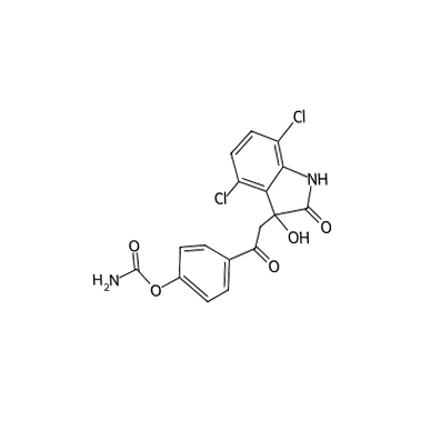 NC(=O)Oc1ccc(C(=O)CC2(O)C(=O)Nc3c(Cl)ccc(Cl)c32)cc1